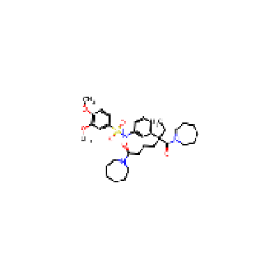 CCC(CCCC(=O)N1CCCCCC1)(C(=O)N1CCCCCC1)c1cccc(NS(=O)(=O)c2ccc(OC)c(OC)c2)c1